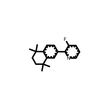 CC1(C)CCC(C)(C)c2cc(-c3ncccc3F)ccc21